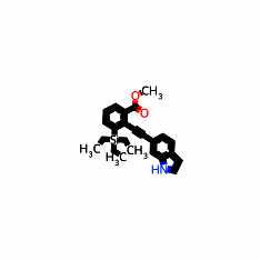 CC[Si](CC)(CC)c1cccc(C(=O)OC)c1C#Cc1ccc2cc[nH]c2c1